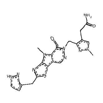 Cn1cc(CC(N)=O)c(Cn2ncc3c4sc(Cc5cc[nH]n5)nc4n(C)c3c2=O)n1